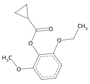 CCOc1cccc(OC)c1OC(=O)C1CC1